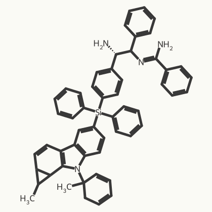 CC1C2C=Cc3c(n(C4(C)C=CC=CC4)c4ccc([Si](c5ccccc5)(c5ccccc5)c5ccc([C@H](N)C(/N=C(\N)c6ccccc6)c6ccccc6)cc5)cc34)C12